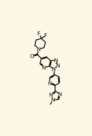 Cn1cnc(-c2ccc(-n3nnc4cc(C(=O)N5CCC(F)(F)CC5)cnc43)cn2)n1